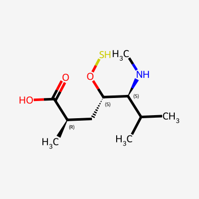 CN[C@@H](C(C)C)[C@H](C[C@@H](C)C(=O)O)OS